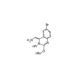 CCCCOC1=Nc2ccc(Br)cc2C(=CN)N1CCC